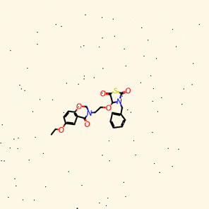 CCOc1ccc2c(c1)C(=O)N(CCOC1C(=O)SC(=O)N1Cc1ccccc1)CO2